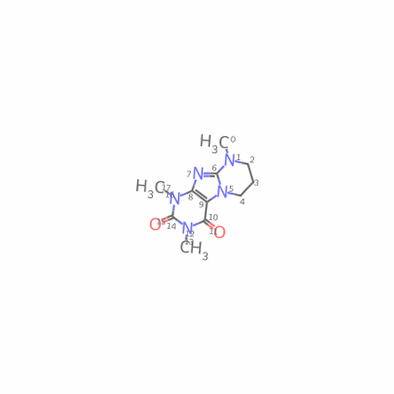 CN1CCCn2c1nc1c2c(=O)n(C)c(=O)n1C